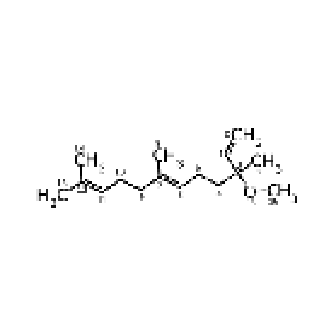 C=CC(C)(CC/C=C(\C)CCC=C(C)C)OC